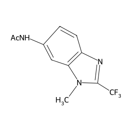 CC(=O)Nc1ccc2nc(C(F)(F)F)n(C)c2c1